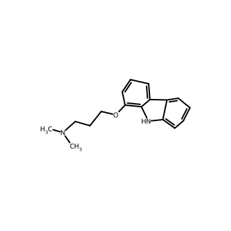 CN(C)CCCOc1cccc2c1[nH]c1ccccc12